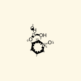 O=[SH](=O)O.[O-][n+]1ccccc1